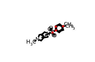 Cc1ccc(S(=O)(=O)N2CC34CN(C)CC3(C2)CN(S(=O)(=O)c2ccc(C)cc2)C4)cc1